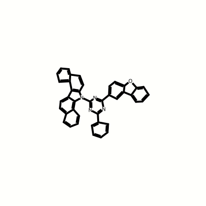 c1ccc(-c2nc(-c3ccc4oc5ccccc5c4c3)nc(-n3c4ccc5ccccc5c4c4ccc5ccccc5c43)n2)cc1